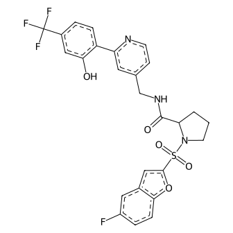 O=C(NCc1ccnc(-c2ccc(C(F)(F)F)cc2O)c1)C1CCCN1S(=O)(=O)c1cc2cc(F)ccc2o1